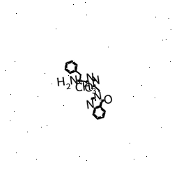 C[C@@](N)(Cc1ccccc1)c1nnc(Cn2cnc3ccccc3c2=O)o1